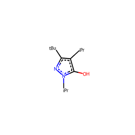 CC(C)c1c(C(C)(C)C)nn(C(C)C)c1O